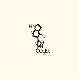 CCOC(=O)c1noc(-c2cnc3[nH]ccc3c2Cl)n1